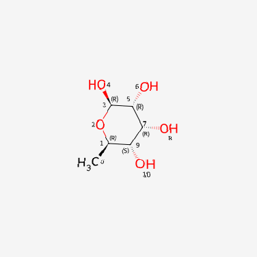 C[C@H]1O[C@@H](O)[C@H](O)[C@H](O)[C@@H]1O